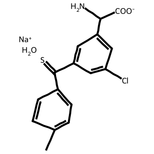 Cc1ccc(C(=S)c2cc(Cl)cc(C(N)C(=O)[O-])c2)cc1.O.[Na+]